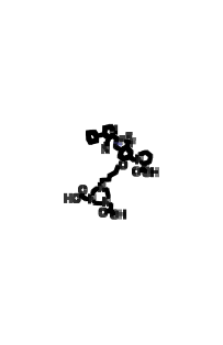 N#Cc1c(-c2ccccc2)ccnc1/C=C/c1cc(OCCCCCN2CCN(CC(=O)O)CCN(CC(=O)O)CC2)c(CN2CCCC[C@H]2C(=O)O)cc1C(F)(F)F